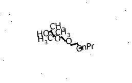 CCCOCCOCCOC(C)(C)C(C)O